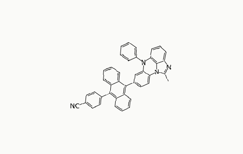 Cc1nc2cccc3c2n1-c1ccc(-c2c4ccccc4c(-c4ccc(C#N)cc4)c4ccccc24)cc1N3c1ccccc1